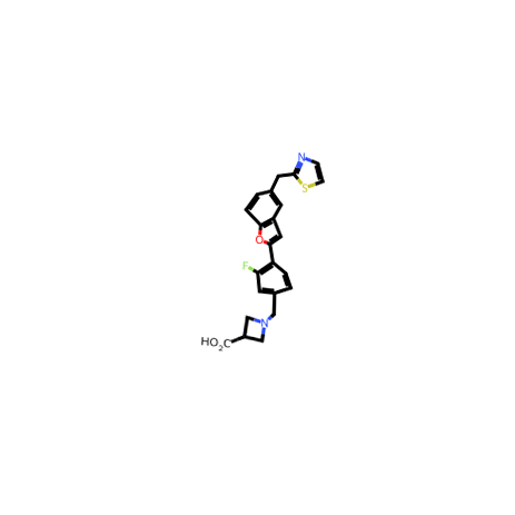 O=C(O)C1CN(Cc2ccc(-c3cc4cc(Cc5nccs5)ccc4o3)c(F)c2)C1